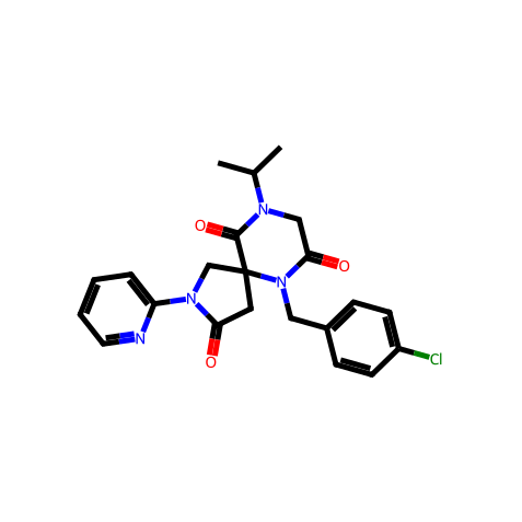 CC(C)N1CC(=O)N(Cc2ccc(Cl)cc2)C2(CC(=O)N(c3ccccn3)C2)C1=O